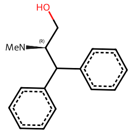 CN[C@@H](CO)C(c1ccccc1)c1ccccc1